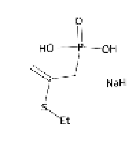 C=C(CP(=O)(O)O)SCC.[NaH]